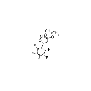 COC(=CC(OC)c1c(F)c(F)c(F)c(F)c1F)OC